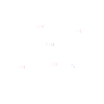 C[N+](C)(C)CCO.OCC([AsH2])(CO)CO